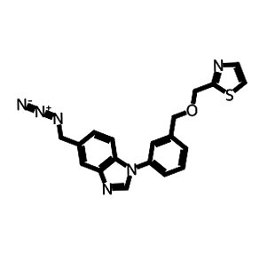 [N-]=[N+]=NCc1ccc2c(c1)ncn2-c1cccc(COCc2nccs2)c1